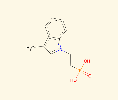 Cc1cn(CCP(=O)(O)O)c2ccccc12